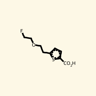 O=C(O)c1ccc(CCOCCF)s1